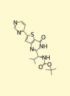 CC(C)[C@H](NC(=O)OC(C)(C)C)c1nc2cc(-c3ccncn3)sc2c(=O)[nH]1